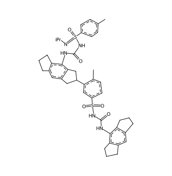 Cc1ccc(S(=O)(=NC(C)C)NC(=O)Nc2c3c(cc4c2CC(c2cc(S(=O)(=O)NC(=O)Nc5c6c(cc7c5CCC7)CCC6)ccc2C)C4)CCC3)cc1